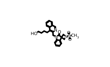 CS(=O)(=O)N1CC2(C1)C(=O)N(Cc1ncc3ccccc3c1CCCCO)c1ccccc12